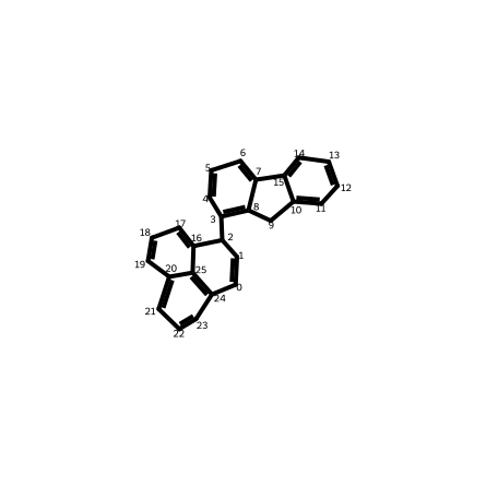 C1=CC(c2cccc3c2Cc2ccccc2-3)c2cccc3cccc1c23